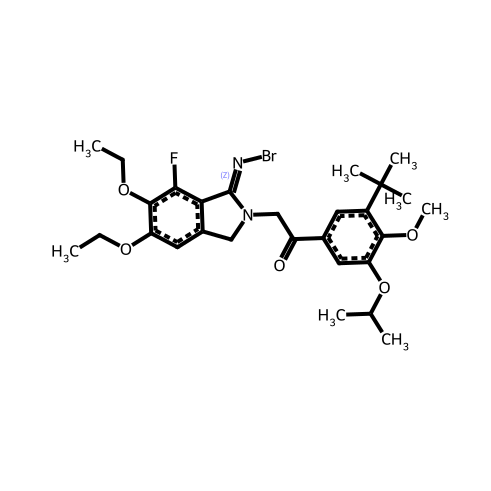 CCOc1cc2c(c(F)c1OCC)/C(=N/Br)N(CC(=O)c1cc(OC(C)C)c(OC)c(C(C)(C)C)c1)C2